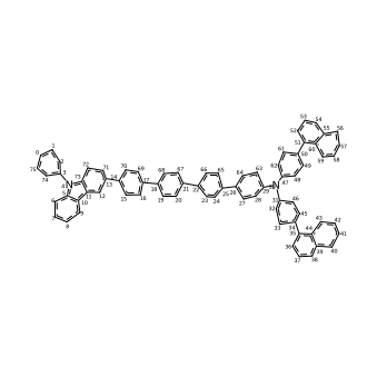 c1ccc(-n2c3ccccc3c3cc(-c4ccc(-c5ccc(-c6ccc(-c7ccc(N(c8ccc(-c9cccc%10ccccc9%10)cc8)c8ccc(-c9cccc%10ccccc9%10)cc8)cc7)cc6)cc5)cc4)ccc32)cc1